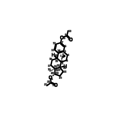 C=C[C@@]12CCc3cc(OC(C)=O)ccc3[C@H]1CC[C@]1(C)[C@@H](OC(C)=O)CC[C@H]12